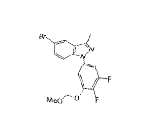 COCOc1cc(-n2nc(C)c3cc(Br)ccc32)cc(F)c1F